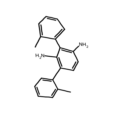 Cc1ccccc1-c1ccc(N)c(-c2ccccc2C)c1N